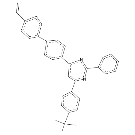 C=Cc1ccc(-c2ccc(-c3cc(-c4ccc(C(C)(C)C)cc4)nc(-c4ccccc4)n3)cc2)cc1